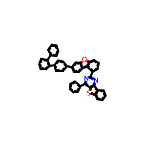 c1ccc(-c2ccccc2-c2ccc(-c3ccc4c(c3)oc3cccc(-c5nc(-c6ccccc6)c6sc7ccccc7c6n5)c34)cc2)cc1